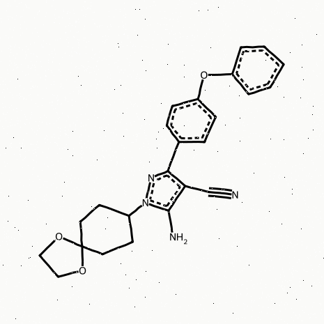 N#Cc1c(-c2ccc(Oc3ccccc3)cc2)nn(C2CCC3(CC2)OCCO3)c1N